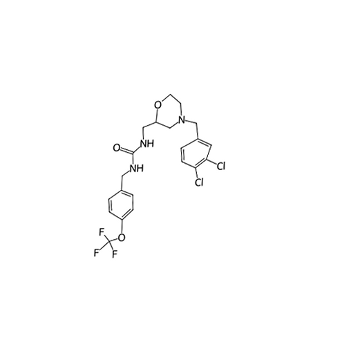 O=C(NCc1ccc(OC(F)(F)F)cc1)NCC1CN(Cc2ccc(Cl)c(Cl)c2)CCO1